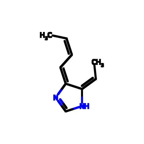 C\C=C/C=c1/nc[nH]/c1=C/C